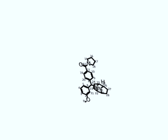 COc1cccc(C(c2ccc(C(=O)N3CCCC3)cc2)N2C3CCC2[C@H]2CCC3N2)c1